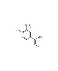 C/C=C(/c1ccc(Cl)c(N)c1)C(C)C